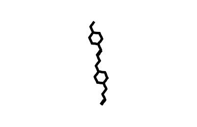 C=CCCC1CCC(CC/C=C/C2CCC(CC)CC2)CC1